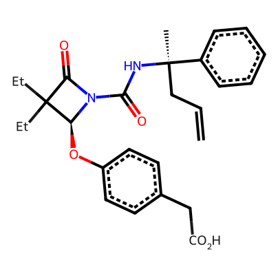 C=CC[C@@](C)(NC(=O)N1C(=O)C(CC)(CC)[C@@H]1Oc1ccc(CC(=O)O)cc1)c1ccccc1